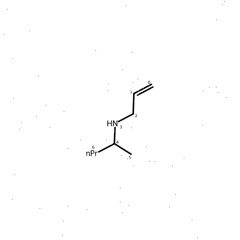 C=CCNC(C)CCC